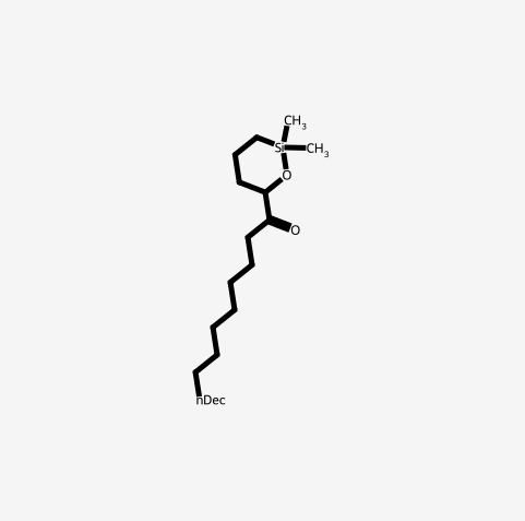 CCCCCCCCCCCCCCCCCC(=O)C1CCC[Si](C)(C)O1